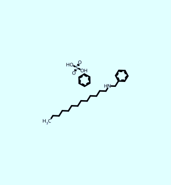 CCCCCCCCCCCCCNCc1ccccc1.O=S(=O)(O)O.c1ccccc1